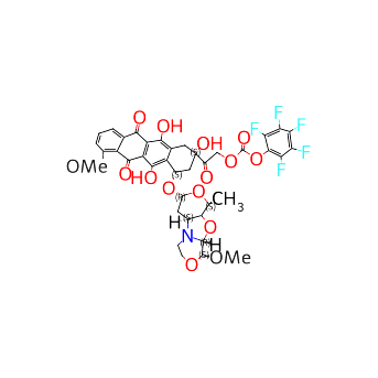 COc1cccc2c1C(=O)c1c(O)c3c(c(O)c1C2=O)C[C@@](O)(C(=O)COC(=O)Oc1c(F)c(F)c(F)c(F)c1F)C[C@@H]3O[C@H]1C[C@H]2C(O[C@@H]3[C@@H](OC)OCCN32)[C@H](C)O1